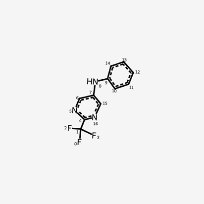 FC(F)(F)c1ncc(Nc2ccccc2)cn1